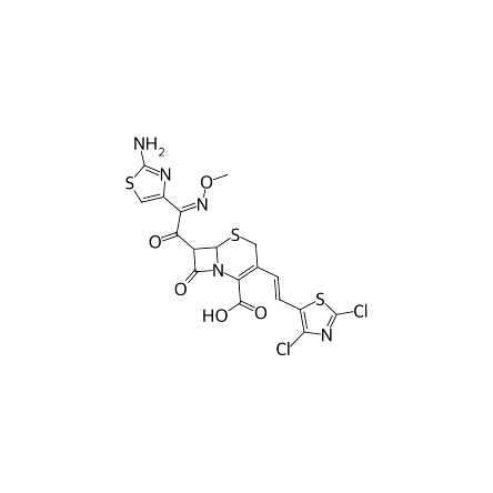 CON=C(C(=O)C1C(=O)N2C(C(=O)O)=C(C=Cc3sc(Cl)nc3Cl)CSC12)c1csc(N)n1